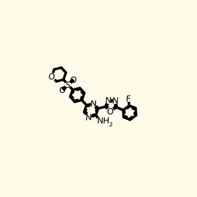 Nc1ncc(-c2ccc(S(=O)(=O)C3CCCOC3)cc2)nc1-c1nnc(-c2ccccc2F)o1